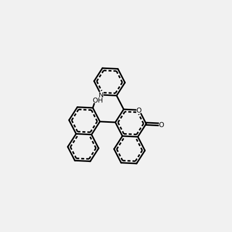 O=c1oc(-c2ccccn2)c(-c2c(O)ccc3ccccc23)c2ccccc12